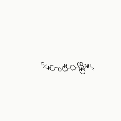 CC(C)(F)CN1CCC(COc2ccc(-c3ccc(C(=O)N4CCCC[C@@H]4C(N)=O)cc3)nc2)CC1